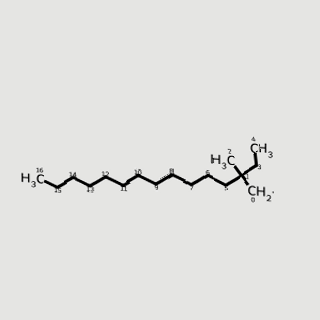 [CH2]C(C)(CC)CCCCCCCCCCCC